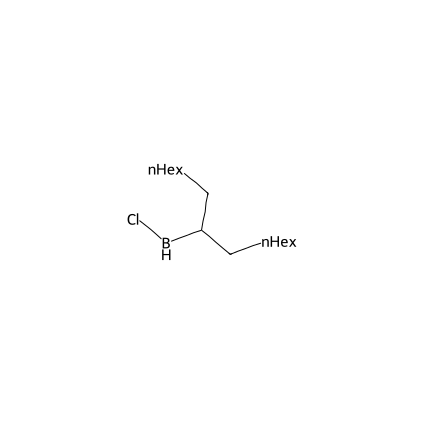 CCCCCCCC(BCl)CCCCCCC